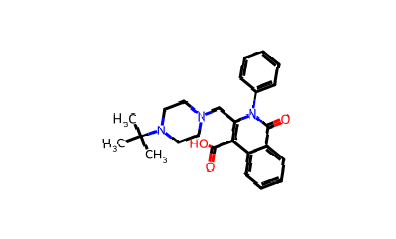 CC(C)(C)N1CCN(Cc2c(C(=O)O)c3ccccc3c(=O)n2-c2ccccc2)CC1